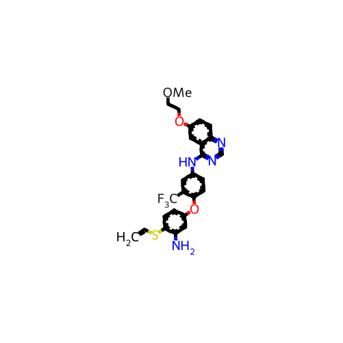 C=CSc1ccc(Oc2ccc(Nc3ncnc4ccc(OCCOC)cc34)cc2C(F)(F)F)cc1N